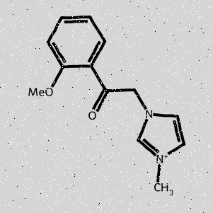 COc1ccccc1C(=O)Cn1cc[n+](C)c1